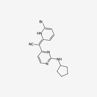 N#CC(=C1C=CC=C(Br)N1)c1ccnc(NC2CCCC2)n1